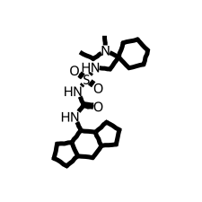 CCN(C)C1(CNS(=O)(=O)NC(=O)NC2C3CCCC3CC3CCCC32)CCCCC1